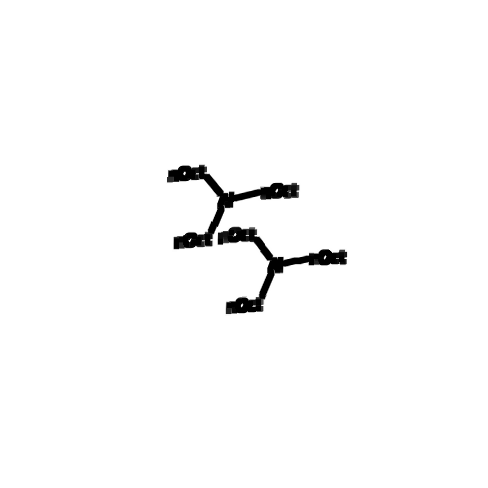 CCCCCCC[CH2][Al]([CH2]CCCCCCC)[CH2]CCCCCCC.CCCCCCC[CH2][Al]([CH2]CCCCCCC)[CH2]CCCCCCC